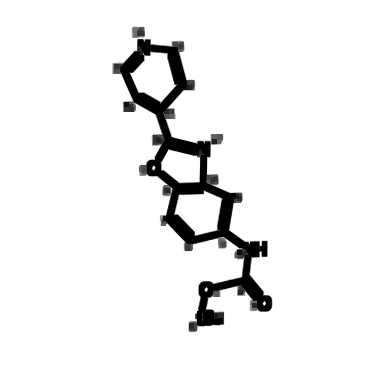 CC(C)(C)OC(=O)Nc1ccc2oc(-c3ccncc3)nc2c1